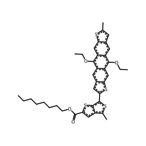 CCCCCCCCOC(=O)c1cc2c(C)sc(-c3cc4cc5c(OCC)c6cc7sc(C)cc7cc6c(OCC)c5cc4s3)c2s1